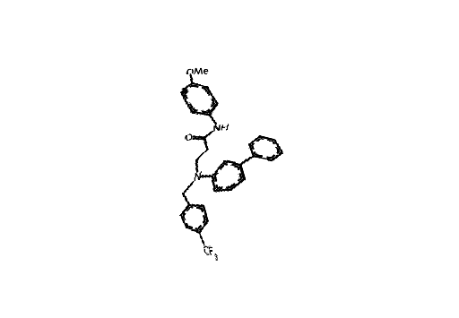 COc1ccc(NC(=O)CCN(Cc2ccc(C(F)(F)F)cc2)c2cccc(-c3ccccc3)c2)cc1